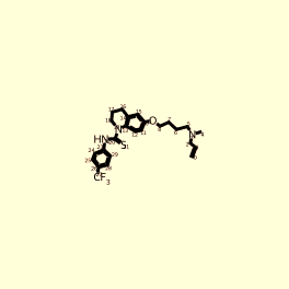 C=CCN(C)CCCCOc1ccc2c(c1)CCCN2C(=S)Nc1ccc(C(F)(F)F)cc1